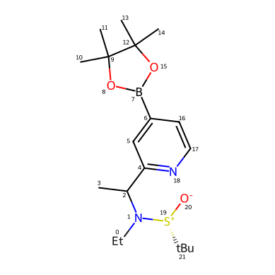 CCN(C(C)c1cc(B2OC(C)(C)C(C)(C)O2)ccn1)[S@+]([O-])C(C)(C)C